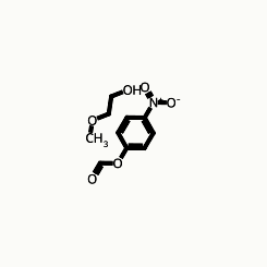 COCCO.O=COc1ccc([N+](=O)[O-])cc1